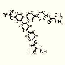 C=C(C)C(=O)OC1CCC(c2ccc(-c3ccc(OC(=O)C(C)C)cc3-c3ccc(-c4ccc(OC(=O)C(=C)CO)cc4)cc3)cc2)CC1